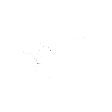 COc1cc(C(=O)N(C)c2ccc(C)cc2OCCCCCC(=O)N2CCN(C)CC2)ccc1NC(=S)c1ccccc1CCCO